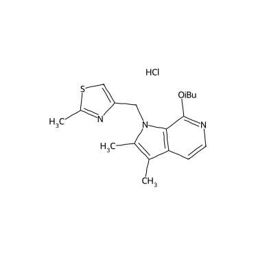 Cc1nc(Cn2c(C)c(C)c3ccnc(OCC(C)C)c32)cs1.Cl